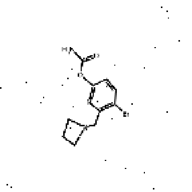 NC(=O)Oc1ccc(Br)c(CN2CCC2)n1